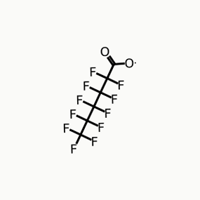 [O]C(=O)C(F)(F)C(F)(F)C(F)(F)C(F)(F)C(F)(F)F